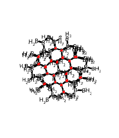 BBB(B)B(B(B(B)B)B(B)B)B(B(B(B(B)B)B(B)B)B(B(B)B)B(B)B)B(B(B(B(B)B)B(B)B)B(B(B)B)B(B)B)B(B(B(B(B(B)B)B(B)B)B(B(B)B)B(B)B)B(B(B(B)B)B(B)B)B(B(B)B)B(B)B)B(B(B(B(B)B)B(B)B)B(B(B)B)B(B)B)B(B(B(B)B)B(B)B)B(B(B)B)B(B)B